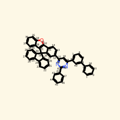 c1ccc(-c2cccc(-c3cc(-c4ccc5c(c4)C4(c6ccccc6-c6ccccc64)c4c-5oc5ccccc45)nc(-c4ccccc4)n3)c2)cc1